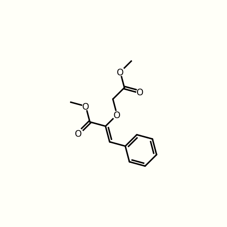 COC(=O)COC(=Cc1ccccc1)C(=O)OC